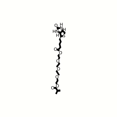 C=C(C)C(=O)OCCOCCOCCOCCOC(=O)CCCC[C@@H]1SC[C@@H]2NC(=O)N[C@@H]21